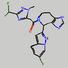 Cn1nc(C(F)F)nc1C(=O)N1CCc2[nH]cnc2C1c1cc2ccc(F)cn2n1